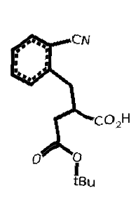 CC(C)(C)OC(=O)CC(Cc1ccccc1C#N)C(=O)O